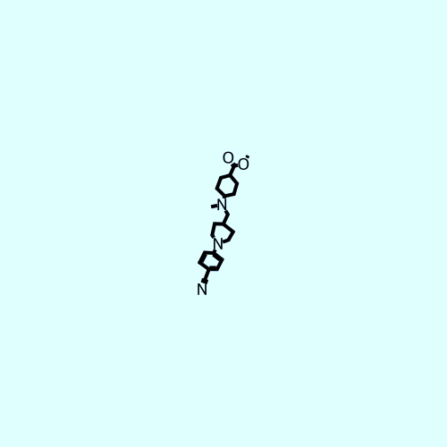 COC(=O)C1CCC(N(C)CC2CCN(c3ccc(C#N)cc3)CC2)CC1